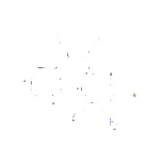 CCN(C(=O)c1ccccc1)c1cc(Br)c(N)c(Br)c1